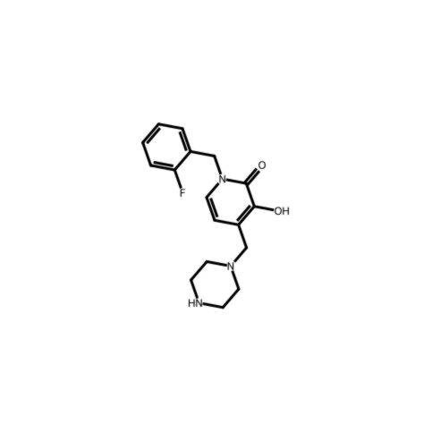 O=c1c(O)c(CN2CCNCC2)ccn1Cc1ccccc1F